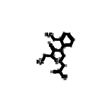 CCc1ccccc1N(COCC(=O)O)C(=O)C(Cl)CC